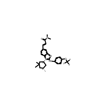 C[C@H]1C[C@@H](n2c(Nc3ccc(OC(F)(F)F)cc3)nc3cc(C=CC(=O)N(C)C)ccc32)CC(C)(C)C1